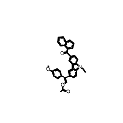 CCn1c2ccc(C(=O)c3cccc4ccccc34)cc2c2cc(C(=COC(C)=O)c3ccc(OC)cc3)ccc21